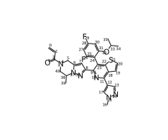 C=CC(=O)N1Cc2cc(-c3nc(-c4cnn(C)c4)c4ccsc4c3-c3c(F)cc(F)cc3OC(C)C)nn2C(C)C1